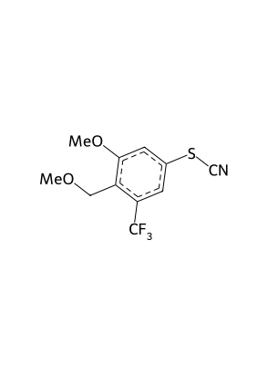 COCc1c(OC)cc(SC#N)cc1C(F)(F)F